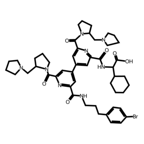 O=C(NCCCc1ccc(Br)cc1)c1cc(-c2cc(C(=O)NC(C(=O)O)C3CCCCC3)nc(C(=O)N3CCCC3CN3CCCC3)c2)cc(C(=O)N2CCCC2CN2CCCC2)n1